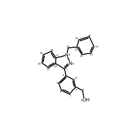 OCc1cccc(-c2nn(Cc3ccccc3)c3ccccc23)c1